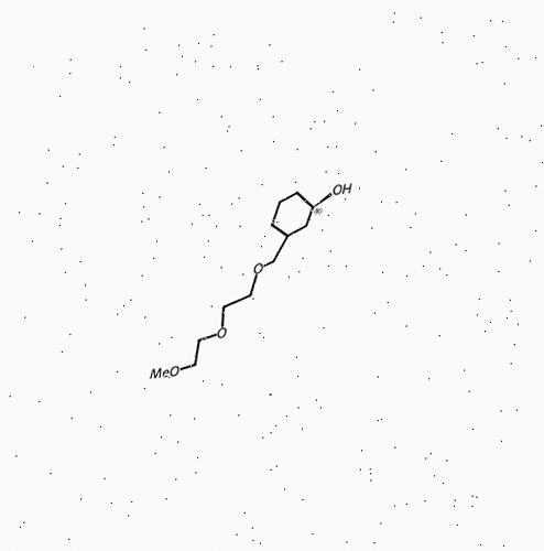 COCCOCCOCC1CCC[C@@H](O)C1